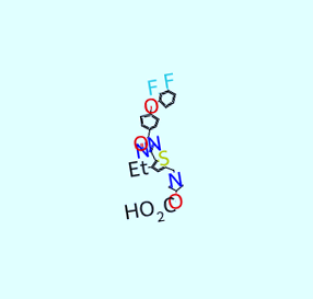 CCc1cc(CN2CC(OC(=O)O)C2)sc1-c1noc(-c2ccc(Oc3cccc(F)c3F)cc2)n1